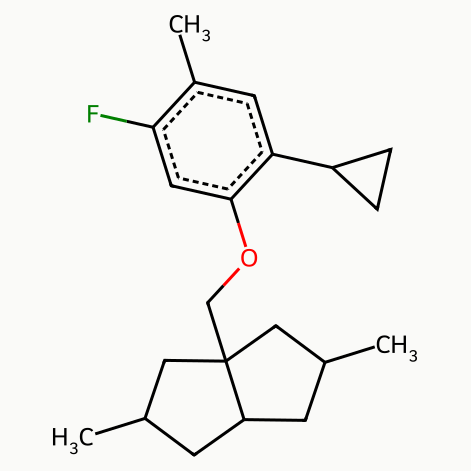 Cc1cc(C2CC2)c(OCC23CC(C)CC2CC(C)C3)cc1F